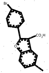 Cc1ccc2oc(-c3ccc(Br)cc3)c(C(=O)O)c2c1